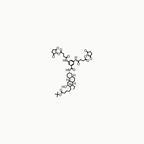 C[C@H](CCC(=O)OC(C)(C)C)[C@H]1CC[C@H]2[C@@H]3CC[C@@H]4C[C@@H](NC(=O)c5cc(NC(=O)CCC(=O)ON6C(=O)CCC6=O)cc(NC(=O)CCC(=O)ON6C(=O)CCC6=O)c5)CC[C@]4(C)[C@H]3C[C@H](O)[C@]12C